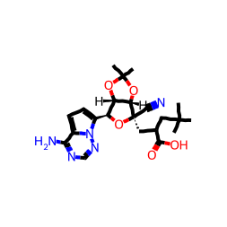 CC(C)(C)CC(C[C@]1(C#N)O[C@@H](c2ccc3c(N)ncnn23)[C@@H]2OC(C)(C)O[C@@H]21)C(=O)O